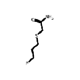 NC(=O)CSCCCF